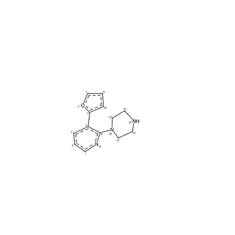 c1coc(-c2cccnc2N2CCNCC2)c1